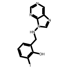 Oc1c(I)cccc1CNn1cnc2cncnc21